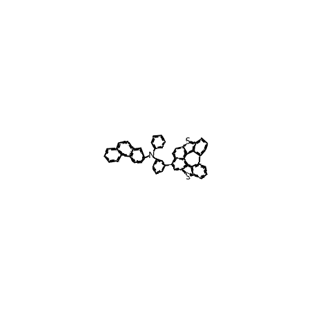 c1ccc(N(c2cccc(-c3cc4sc5cccc6c5c4c4c3ccc3sc5cccc-6c5c34)c2)c2ccc3c(ccc4ccccc43)c2)cc1